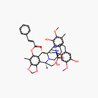 COc1cc2c(cc1O)CCN[C@]21CS[C@@H]2c3c(OC(=O)/C=C/c4ccccc4)c(C)c4c(c3[C@H](COC1=O)N1C2C2NC(Cc3cc(C)c(OC)c(O)c32)[C@@H]1O)OCO4